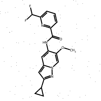 COc1cn2nc(C3CC3)cc2cc1NC(=O)c1cccc(C(F)F)n1